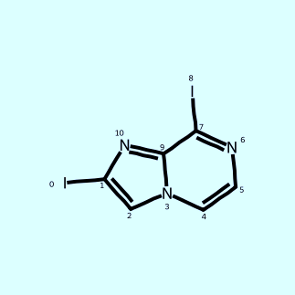 Ic1cn2ccnc(I)c2n1